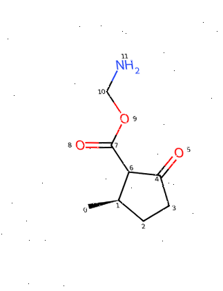 C[C@@H]1CCC(=O)C1C(=O)OCN